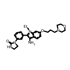 CCn1c(-c2cccc(N3CCNC3=O)c2)c(N)c2ccc(OCCCN3CCOCC3)cc21